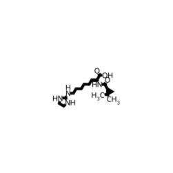 CC1(C)CC1C(=O)N/C(=C\CCCCCNC1NCCN1)C(=O)O